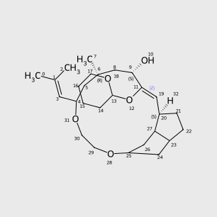 CC(C)=CC1C[C@H](C)C[C@H](O)/C(OC2CCCCO2)=C/[C@H]2CCC3CC(CC32)OCCO1